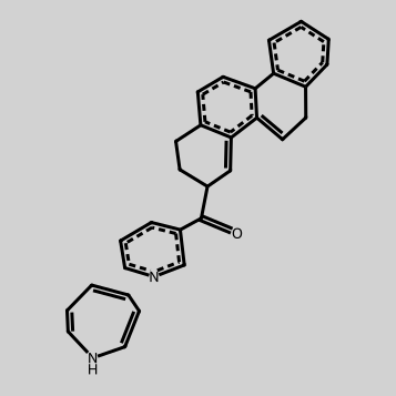 C1=CC=CNC=C1.O=C(c1cccnc1)C1C=c2c(ccc3c2=CCc2ccccc2-3)CC1